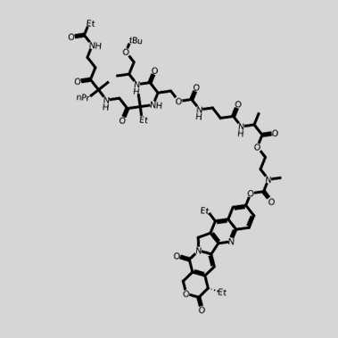 CCCC(C)(NCC(=O)C(C)(CC)NC(COC(=O)NCCC(=O)NC(C)C(=O)OCCN(C)C(=O)Oc1ccc2nc3c(c(CC)c2c1)Cn1c-3cc2c(c1=O)COC(=O)[C@H]2CC)C(=O)NC(C)COC(C)(C)C)C(=O)CCNC(=O)CC